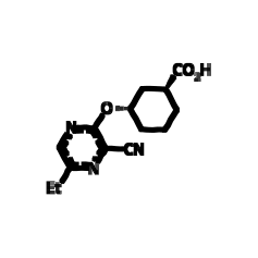 CCc1cnc(O[C@H]2CCC[C@H](C(=O)O)C2)c(C#N)n1